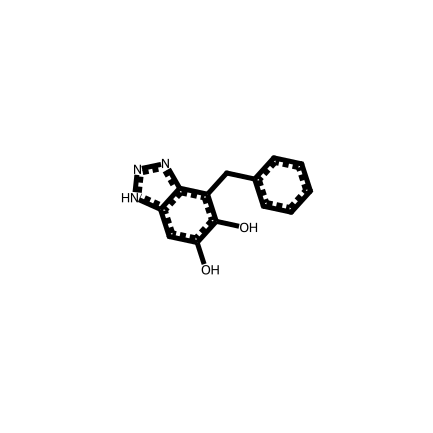 Oc1cc2[nH]nnc2c(Cc2ccccc2)c1O